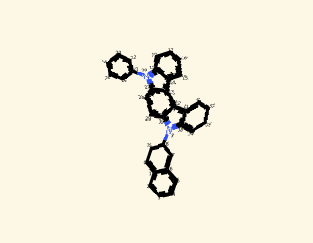 C1=c2ccccc2=CC(n2c3c(c4c5c6ccccc6n(-c6ccccc6)c5ccc42)=CCCC=3)C1